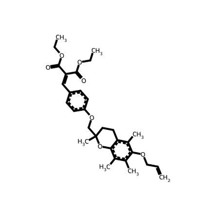 C=CCOc1c(C)c(C)c2c(c1C)CCC(C)(COc1ccc(C=C(C(=O)OCC)C(=O)OCC)cc1)O2